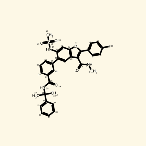 CNC(=O)c1c(-c2ccc(F)cc2)oc2cc(NS(C)(=O)=O)c(-c3cccc(C(=O)NC(C)(C)c4ccccc4)c3)cc12